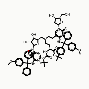 COc1ccc(C(Nc2nc(=O)n([C@@H]3C[C@H](O)[C@@H](CO)O3)cc2CCN(CC[C@H](NC(=O)OC(C)(C)C)C(=O)OC(C)(C)C)C[C@H]2O[C@@H](n3cnc4c(NC(c5ccccc5)(c5ccccc5)c5ccc(OC)cc5)ncnc43)[C@H](O)[C@@H]2O)(c2ccccc2)c2ccccc2)cc1